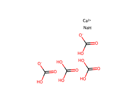 O=C(O)O.O=C(O)O.O=C([O-])O.O=C([O-])O.[Ca+2].[NaH]